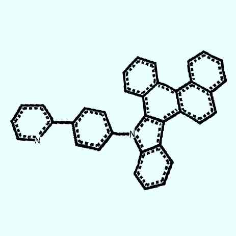 c1ccc(-c2ccc(-n3c4ccccc4c4c5ccc6ccccc6c5c5ccccc5c43)cc2)nc1